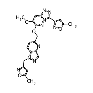 COc1cc2nnc(-c3cc(C)on3)n2nc1OCc1ccc2c(cnn2Cc2cc(C)on2)n1